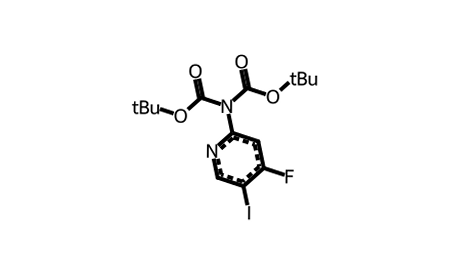 CC(C)(C)OC(=O)N(C(=O)OC(C)(C)C)c1cc(F)c(I)cn1